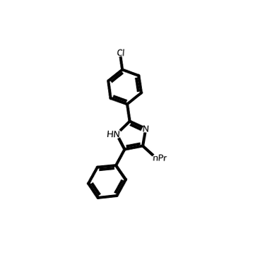 CCCc1nc(-c2ccc(Cl)cc2)[nH]c1-c1ccccc1